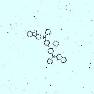 c1ccc(-c2cc(N(c3ccccc3)c3ccc4c(c3)oc3ccccc34)ccc2-c2ccc(N(c3ccccc3)c3ccc4ccccc4c3)cc2)cc1